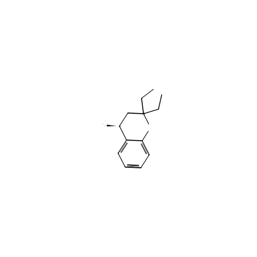 CCC1(CC)C[C@H](N)c2ccccc2O1